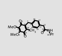 COC1=C(OC)C(=O)C(Cc2ccc(CC(=O)NC(C)C)cc2)=C(C)C1=O